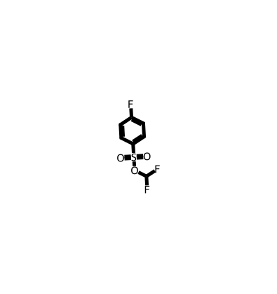 O=S(=O)(OC(F)F)c1ccc(F)cc1